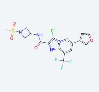 CS(=O)(=O)N1CC(NC(=O)c2nc3c(C(F)(F)F)cc(-c4ccoc4)cn3c2Cl)C1